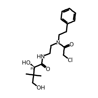 CC(C)(CO)[C@@H](O)C(=O)NCCN(CCc1ccccc1)C(=O)CCl